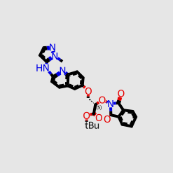 Cn1nccc1Nc1ccc2cc(OC[C@H](ON3C(=O)c4ccccc4C3=O)C(=O)OC(C)(C)C)ccc2n1